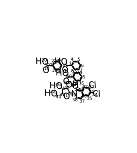 O=C(O)c1ccccc1.O=C(O)c1ccccc1.O=C(O)c1ccccc1.O=c1c2cc(Cl)c(Cl)cc2ccn1[C@@H]1O[C@H](CO)[C@@H](O)[C@H]1O